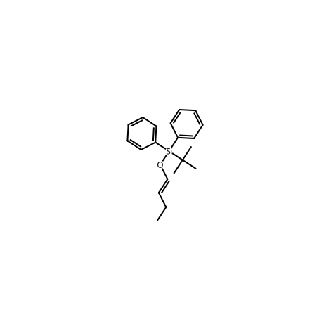 CCC=CO[Si](c1ccccc1)(c1ccccc1)C(C)(C)C